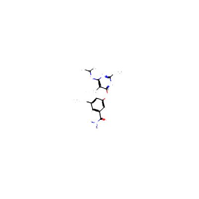 CCC(C)C(Nc1nc(SC)nc(Oc2cc(OC)cc(C(=O)N(C)C)c2)c1[N+](=O)[O-])C(=O)O